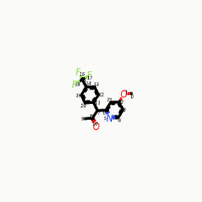 COc1ccnc(C(C(C)=O)c2ccc(C(F)(F)F)cc2)c1